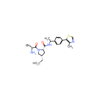 Cc1ncsc1-c1ccc([C@H](C)NC(=O)[C@@H]2C[C@H](CC(=O)O)CN2C(=O)[C@@H](N)C(C)(C)C)cc1